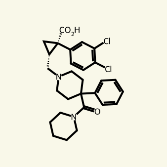 O=C(N1CCCCC1)C1(c2ccccc2)CCN(C[C@@H]2C[C@@]2(C(=O)O)c2ccc(Cl)c(Cl)c2)CC1